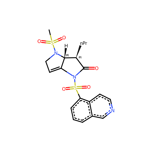 CCC[C@H]1C(=O)N(S(=O)(=O)c2cccc3cnccc23)C2=CCN(S(C)(=O)=O)[C@@H]21